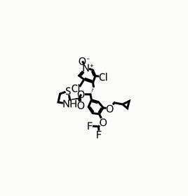 O=C(O[C@H](Cc1c(Cl)c[n+]([O-])cc1Cl)c1ccc(OC(F)F)c(OCC2CC2)c1)[C@H]1NCCS1